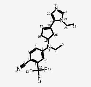 CCN(c1ccc(C#N)c(C(F)(F)F)c1)C1CC=C(c2cncn2CC)C1